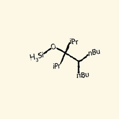 CCCCC(CCCC)C(O[SiH3])(C(C)C)C(C)C